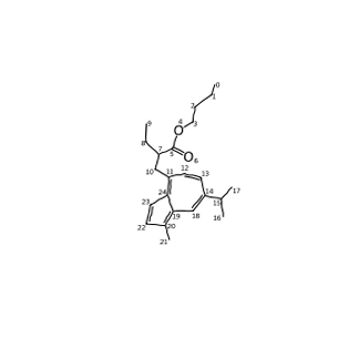 CCCCOC(=O)C(CC)Cc1ccc(C(C)C)cc2c(C)ccc1-2